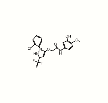 COc1ccc(NC(=O)COC2=CC(C(F)(F)F)NN2c2ccccc2Cl)cc1O